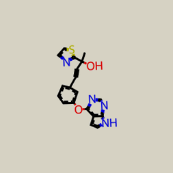 CC(O)(C#Cc1cccc(Oc2ncnc3[nH]ccc23)c1)c1nccs1